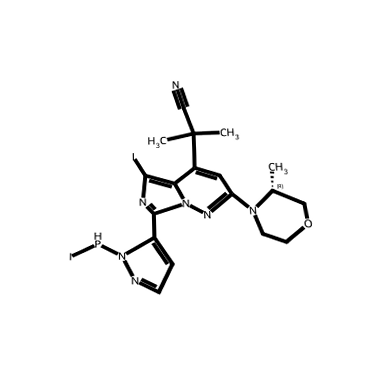 C[C@@H]1COCCN1c1cc(C(C)(C)C#N)c2c(I)nc(-c3ccnn3PI)n2n1